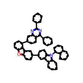 c1ccc(-c2nc(-c3ccccc3)c3ccc(-c4cccc5oc6ccc(-c7ccc8c(c7)c7ccccc7n8-c7cccc8ccccc78)cc6c45)cc3n2)cc1